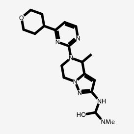 CNC(O)Nc1cc2n(n1)CCN(c1nccc(C3CCOCC3)n1)C2C